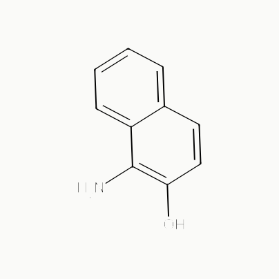 Nc1c(O)ccc2ccccc12